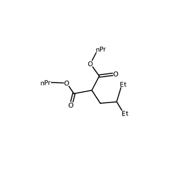 CCCOC(=O)C(CC(CC)CC)C(=O)OCCC